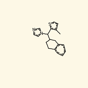 Cc1ccsc1C(C1CCc2ccccc2C1)n1ccnc1